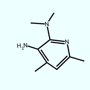 Cc1cc(C)c(N)c(N(C)C)n1